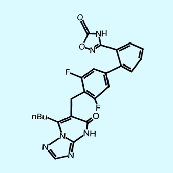 CCCCc1c(Cc2c(F)cc(-c3ccccc3-c3noc(=O)[nH]3)cc2F)c(=O)[nH]c2ncnn12